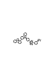 CC(C)c1cccc(-c2nsc(-c3ccc(-n4c5ccccc5c5ccc(-c6cccc7c6oc6ccccc67)cc54)cc3)n2)c1